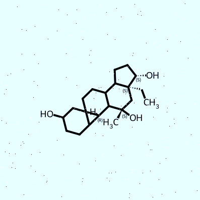 CC[C@]12C[C@](C)(O)C3C(CCC45CC(O)CCC4[C@H]35)C1CC[C@@H]2O